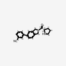 N#Cc1cccc(-c2ccc3c(c2)CN(C(=O)[C@@H]2CCCN2)C3)c1